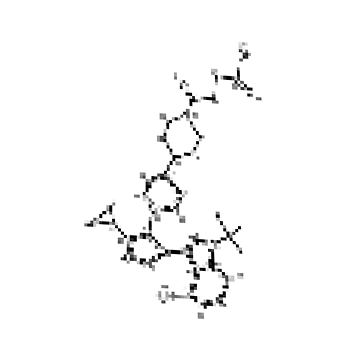 CC(C)(C)n1nc(-c2noc(C3CC3)c2-c2ncc(C3CCN(C(=O)CCC(=O)O)CC3)cn2)c2c(N)ncnc21